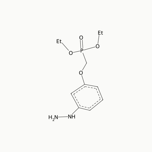 CCOP(=O)(COc1cccc(NN)c1)OCC